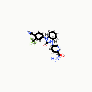 N#Cc1ccc(N2C(=O)N(c3ccc(C(N)=O)nc3)[C@H]3CCCC[C@@H]32)cc1C(F)(F)F